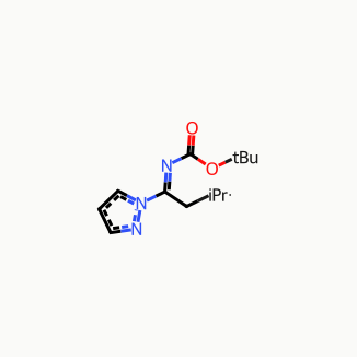 C[C](C)CC(=NC(=O)OC(C)(C)C)n1cccn1